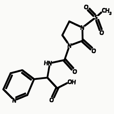 CS(=O)(=O)N1CCN(C(=O)NC(C(=O)O)c2cccnc2)C1=O